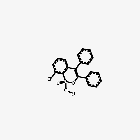 CCOP1(=O)OC(c2ccccc2)=C(c2ccccc2)c2cccc(Cl)c21